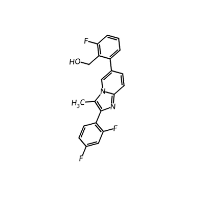 Cc1c(-c2ccc(F)cc2F)nc2ccc(-c3cccc(F)c3CO)cn12